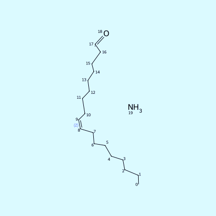 CCCCCCCC/C=C\CCCCCCC[C]=O.N